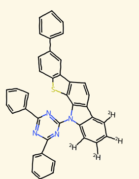 [2H]c1c([2H])c([2H])c2c(c1[2H])c1ccc3c4cc(-c5ccccc5)ccc4sc3c1n2-c1nc(-c2ccccc2)nc(-c2ccccc2)n1